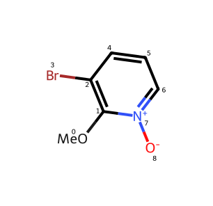 COc1c(Br)ccc[n+]1[O-]